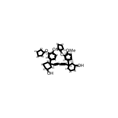 COc1ccc(C2(C#CC#CC3(c4ccc(OC)c(OC5CCCC5)c4)CCCC(O)C3)CCCC(O)C2)cc1OC1CCCC1